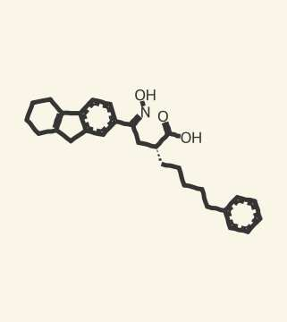 O=C(O)[C@H](CCCCCc1ccccc1)CC(=NO)c1ccc2c(c1)CC1=C2CCCC1